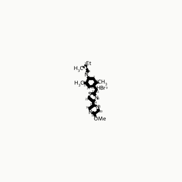 Br.CCN(C)/C=N/c1cc(C)c(Cc2nc(-c3cnc(OC)cn3)cs2)cc1C